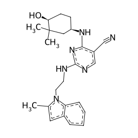 Cc1cc2ccccc2n1CCNc1ncc(C#N)c(N[C@@H]2CC[C@H](O)C(C)(C)C2)n1